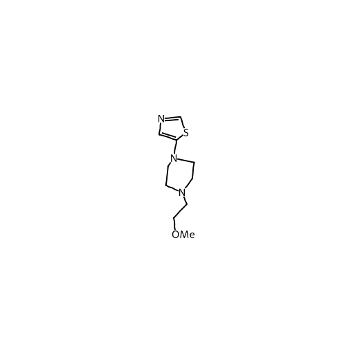 COCCN1CCN(c2cncs2)CC1